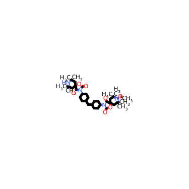 CON1C(C)(C)CC2(CC1(C)C)OC(=O)N(C1CCC(CC3CCC(N4C(=O)OC5(CC(C)(C)NC(C)(C)C5)C4=O)CC3)CC1)C2=O